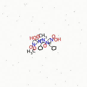 COCC1(O)CCN(C(=O)OC)CC1n1cnc(C(=O)N2CCN(C(=O)O)C[C@H]2Cc2ccccc2)c1-c1ccccc1